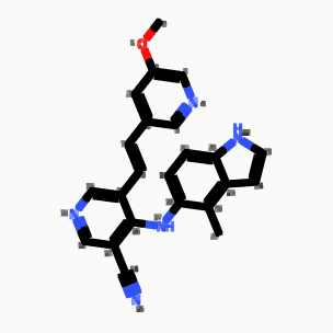 COc1cncc(C=Cc2cncc(C#N)c2Nc2ccc3[nH]ccc3c2C)c1